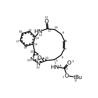 CC(C)(C)OC(=O)N[C@H]1C/C=C\CCC(=O)Nc2ccccc2-c2nnc1o2